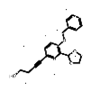 OCCC#Cc1ccc(OCc2ccccc2)c(C2OCCO2)n1